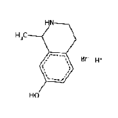 CC1NCCc2ccc(O)cc21.[Br-].[H+]